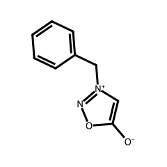 [O-]c1c[n+](Cc2ccccc2)no1